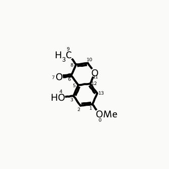 COc1cc(O)c2c(=O)c(C)coc2c1